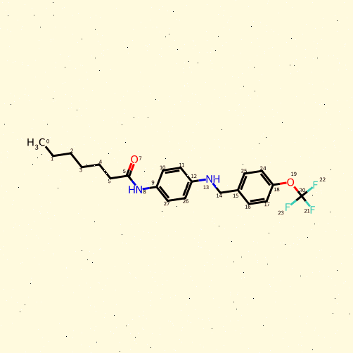 CCCCCCC(=O)Nc1ccc(NCc2ccc(OC(F)(F)F)cc2)cc1